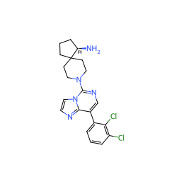 N[C@@H]1CCCC12CCN(c1ncc(-c3cccc(Cl)c3Cl)c3nccn13)CC2